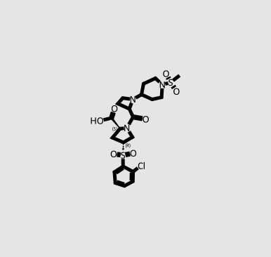 CS(=O)(=O)N1CCC(N2CCC2C(=O)N2C[C@H](S(=O)(=O)c3ccccc3Cl)C[C@H]2C(=O)O)CC1